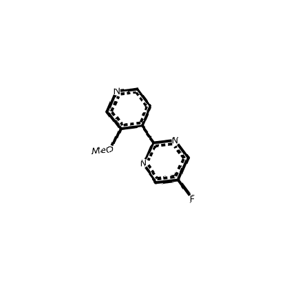 COc1cnccc1-c1ncc(F)cn1